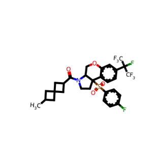 CC1CC2(C1)CC(C(=O)N1CCC3(S(=O)(=O)c4ccc(F)cc4)c4ccc(C(F)(C(F)(F)F)C(F)(F)F)cc4OCC13)C2